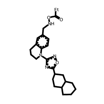 CCC(=O)ONCc1ccc2c(c1)CCCN2c1noc(C2CCC3CCCCC3C2)n1